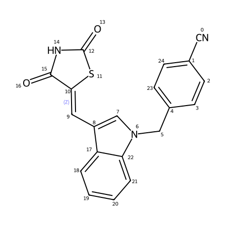 N#Cc1ccc(Cn2cc(/C=C3\SC(=O)NC3=O)c3ccccc32)cc1